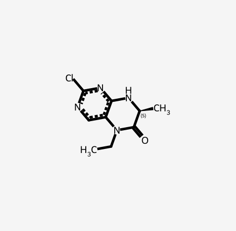 CCN1C(=O)[C@H](C)Nc2nc(Cl)ncc21